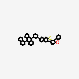 c1cc(-c2ccc3cc4c(cc3c2)sc2c4ccc3oc4ccccc4c32)cc(-c2c3ccccc3c(-c3cccc4ccccc34)c3ccccc23)c1